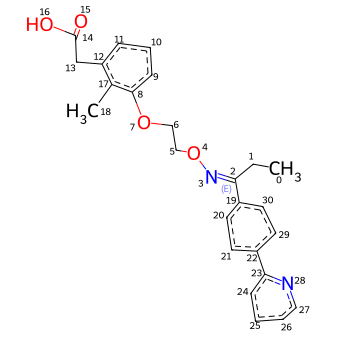 CC/C(=N\OCCOc1cccc(CC(=O)O)c1C)c1ccc(-c2ccccn2)cc1